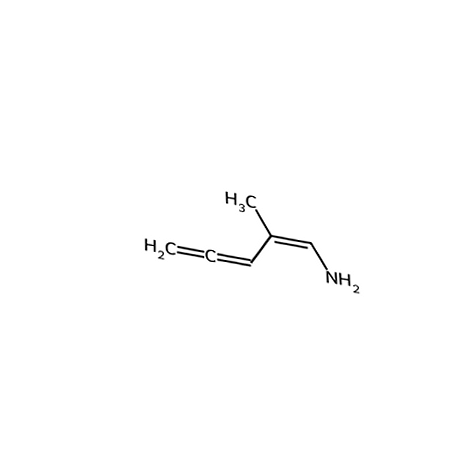 C=C=C/C(C)=C\N